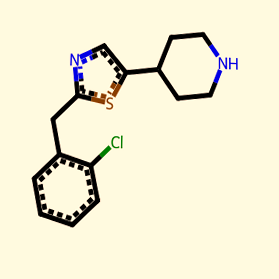 Clc1ccccc1Cc1ncc(C2CCNCC2)s1